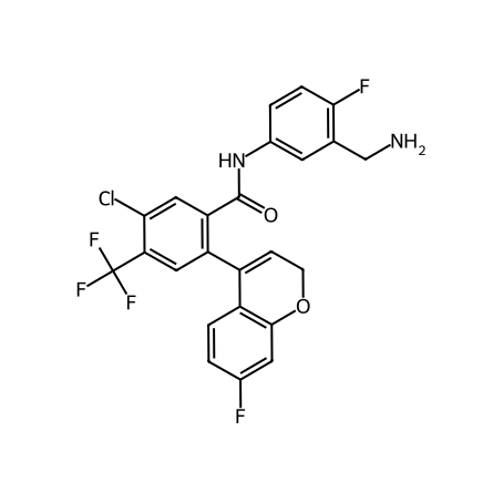 NCc1cc(NC(=O)c2cc(Cl)c(C(F)(F)F)cc2C2=CCOc3cc(F)ccc32)ccc1F